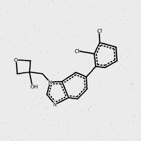 OC1(Cn2cnc3ccc(-c4cccc(Cl)c4Cl)cc32)COC1